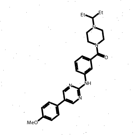 CCC(CC)N1CCN(C(=O)c2cccc(Nc3ncc(-c4ccc(OC)cc4)cn3)c2)CC1